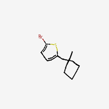 CC1(c2ccc(Br)s2)CCC1